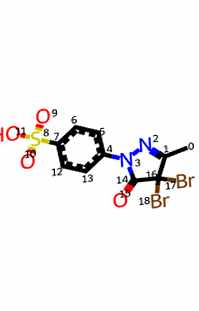 CC1=NN(c2ccc(S(=O)(=O)O)cc2)C(=O)C1(Br)Br